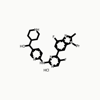 Cc1nc2c(F)cc(-c3nc(Nc4ccc(C(O)C5CCNCC5)cn4)ncc3F)cc2n1C(C)C.Cl